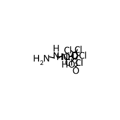 CC(=O)O.NCCNCCN.Oc1c(Cl)c(Cl)c(Cl)c(Cl)c1Cl